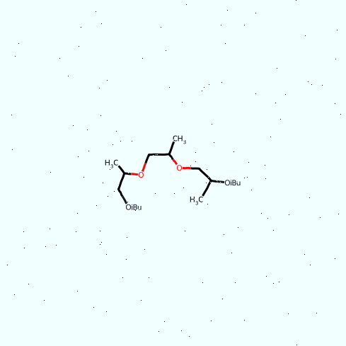 CC(C)COCC(C)OCC(C)OCC(C)OCC(C)C